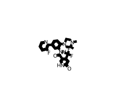 CC1CN(c2ccc(-c3ncccc3F)cc2NC(=O)c2c[nH]c(=O)cc2C(F)(F)F)CCN1C